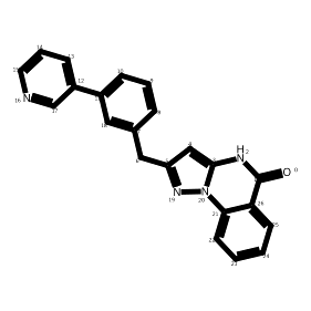 O=c1[nH]c2cc(Cc3cccc(-c4cccnc4)c3)nn2c2ccccc12